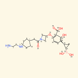 NCCNC1CCC(CC(=O)N2CC(Oc3ccc([C@H]4C[C@H]4B(O)O)c(O)c3C(=O)O)C2)CC1